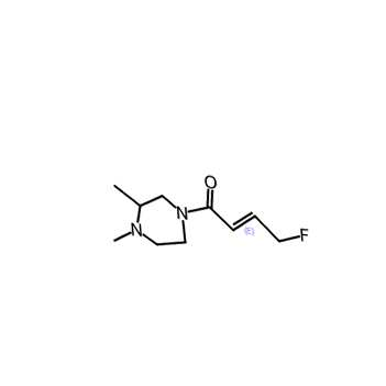 CC1CN(C(=O)/C=C/CF)CCN1C